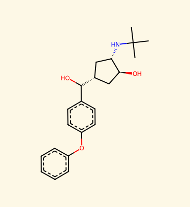 CC(C)(C)N[C@H]1C[C@@H](C(O)c2ccc(Oc3ccccc3)cc2)C[C@@H]1O